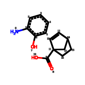 Nc1ccccc1O.O=C(O)C12C=CC(CC1)C2